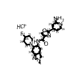 Cl.Cn1cc2cc(NC(=O)c3coc(-c4ccnc(N)c4)n3)c(N3CCC(F)CC3)cc2n1